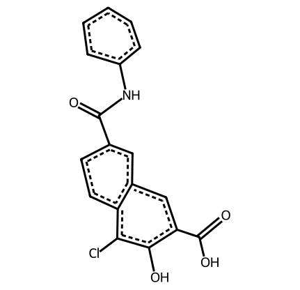 O=C(Nc1ccccc1)c1ccc2c(Cl)c(O)c(C(=O)O)cc2c1